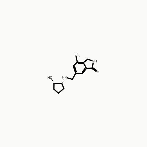 O=C1NCc2c1cc(CN[C@@H]1CCC[C@@H]1O)cc2C(F)(F)F